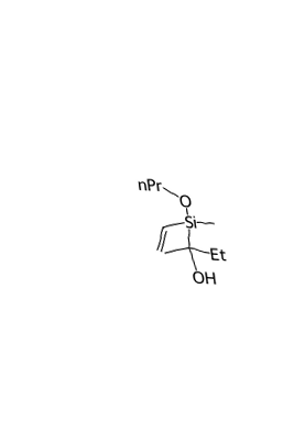 C=C[Si](C)(OCCC)C(C)(O)CC